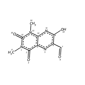 Cn1c(=O)c2nc(C=O)c(O)nc2n(C)c1=O